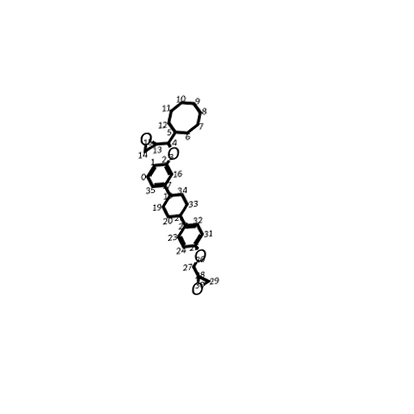 c1cc(OC(C2CCCCCCC2)C2CO2)cc(C2CCC(c3ccc(OCC4CO4)cc3)CC2)c1